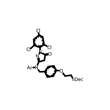 CCCCCCCCCCCCOc1ccc(CN(C(C)=O)C2=NN(c3c(Cl)cc(Cl)cc3Cl)C(=O)C2)cc1